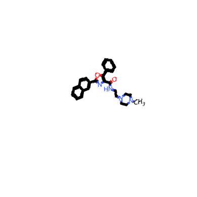 CN1CCN(CCNC(=O)c2nc(-c3ccc4ccccc4c3)oc2-c2ccccc2)CC1